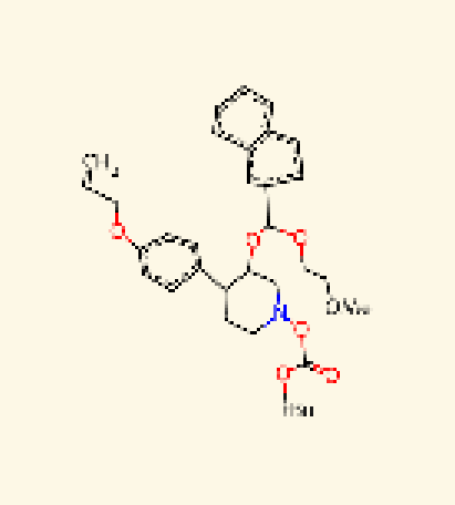 C=CCOc1ccc(C2CCN(OC(=O)OC(C)(C)C)CC2OC(OCCOC)c2ccc3ccccc3c2)cc1